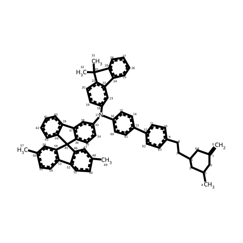 C=C1CC(C)CC(CCc2ccc(-c3ccc(N(c4ccc5c(c4)-c4ccccc4C5(C)C)c4ccc5c(c4)-c4ccccc4C54c5cc(C)ccc5-c5ccc(C)cc54)cc3)cc2)C1